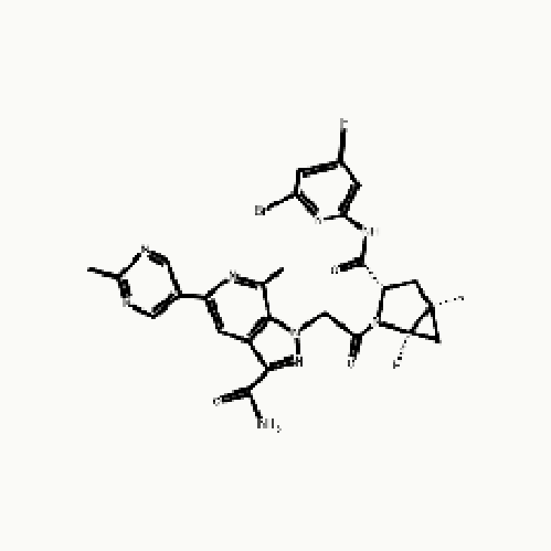 Cc1ncc(-c2cc3c(C(N)=O)nn(CC(=O)N4[C@H](C(=O)Nc5cc(F)cc(Br)n5)C[C@@]5(C)C[C@@H]45)c3c(C)n2)cn1